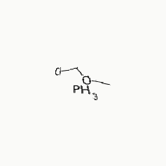 COCCl.P